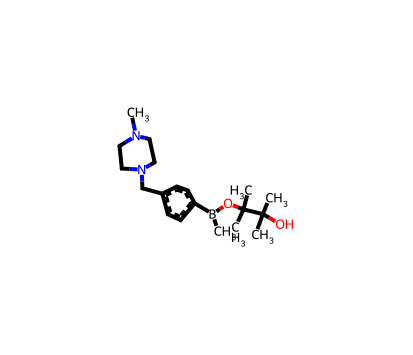 CB(OC(C)(C)C(C)(C)O)c1ccc(CN2CCN(C)CC2)cc1